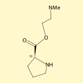 CNCCOC(=O)[C@@H]1CCCN1